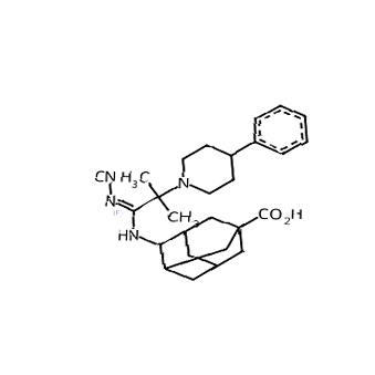 CC(C)(/C(=N\C#N)NC1C2CC3CC1CC(C(=O)O)(C3)C2)N1CCC(c2ccccc2)CC1